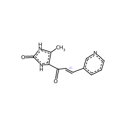 Cc1[nH]c(=O)[nH]c1C(=O)/C=C/c1cccnc1